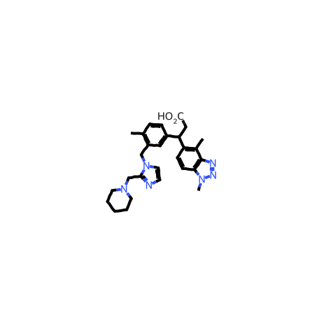 Cc1ccc(C(CC(=O)O)c2ccc3c(nnn3C)c2C)cc1Cn1ccnc1CN1CCCCC1